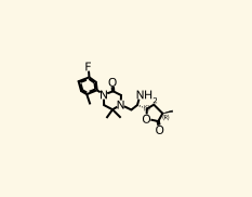 Cc1ccc(F)cc1N1CC(C)(C)N(CC(N)[C@@H]2C[C@@H](C)C(=O)O2)CC1=O